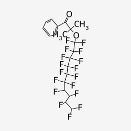 CC(C)(OC(F)(F)C(F)(F)C(F)(F)C(F)(F)C(F)(F)C(F)(F)C(F)C(F)C(F)C(F)F)C(=O)c1ccccc1